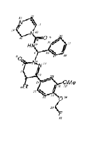 CCC1CC(=O)N(C(NC(=O)N2C=CN=CC2)c2ccccc2)N=C1c1ccc(OCF)c(OC)c1